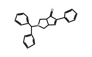 O=C1C(c2ccccc2)=CC2CN(C(c3ccccc3)c3ccccc3)CC12